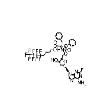 Nc1nc(F)nc2c1ncn2C#C[C@H]1C[C@H](O)[C@@H](COP(=O)(N[C@@H](Cc2ccccc2)C(=O)OCCCCC(F)(F)C(F)(F)C(F)(F)C(F)(F)F)Oc2ccccc2)O1